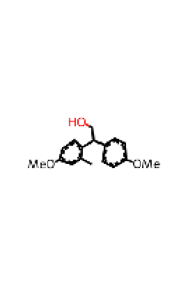 COc1ccc(C(CO)c2ccc(OC)cc2C)cc1